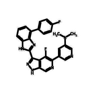 CN(C)c1cncc(-c2ncc3[nH]nc(-c4nc5c(-c6ccc(F)cc6)cccc5[nH]4)c3c2F)c1